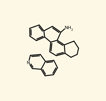 Nc1cc2ccccc2c2ccc3c(c12)CCCC3.c1ccc2cnccc2c1